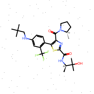 C[C@H]1CCCN1C(=O)c1nc(C(=O)N[C@H](C)C(C)(C)O)sc1-c1ccc(NCC(C)(C)C)cc1C(F)(F)F